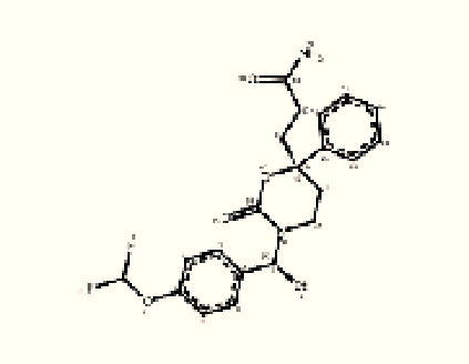 CC[C@@H](c1ccc(OC(F)F)cc1)N1CC[C@@](CCC(N)=O)(c2ccccc2)OC1=O